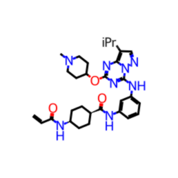 C=CC(=O)N[C@H]1CC[C@@H](C(=O)Nc2cccc(Nc3nc(OC4CCN(C)CC4)nc4c(C(C)C)cnn34)c2)CC1